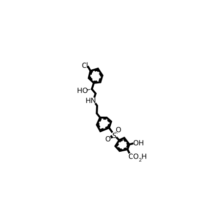 O=C(O)c1ccc(S(=O)(=O)c2ccc(CCNC[C@H](O)c3cccc(Cl)c3)cc2)cc1O